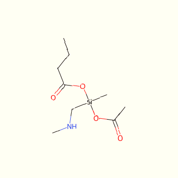 CCCC(=O)O[Si](C)(CNC)OC(C)=O